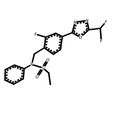 CCS(=O)(=O)N(Cc1ccc(-c2nnc(C(F)F)o2)cc1F)c1ccccc1